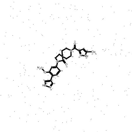 COc1cc(N2CCC3(CCN(C(=O)c4cc(C)[nH]n4)CC3)C2=O)ccc1-c1cn[nH]c1